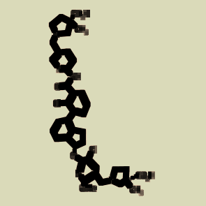 COc1nc(O[C@H]2CCc3c(-c4cccc(C(=O)Nc5ccc(CN6CC[C@](C)(C(=O)O)C6)cn5)c4Cl)cccc32)c(Cl)cc1CN1CC[C@](C)(C(=O)O)C1